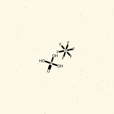 O=P(O)(O)O.[F][Ti]([F])([F])([F])([F])[F]